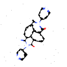 C=c1c2ccc3c4c(ccc(c(=O)n1-c1ccncc1)c42)C(=O)N(c1ccncc1)C3=N